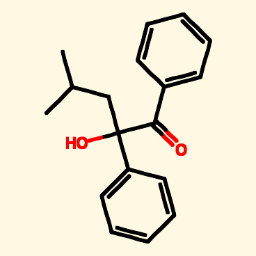 CC(C)CC(O)(C(=O)c1ccccc1)c1ccccc1